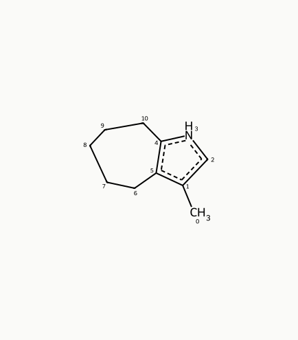 Cc1c[nH]c2c1CCCCC2